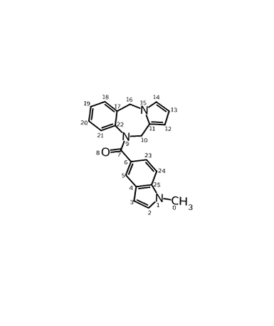 Cn1ccc2cc(C(=O)N3Cc4cccn4Cc4ccccc43)ccc21